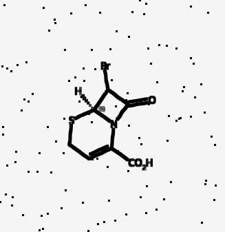 O=C(O)C1=CCS[C@H]2C(Br)C(=O)N12